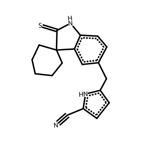 N#Cc1ccc(Cc2ccc3c(c2)C2(CCCCC2)C(=S)N3)[nH]1